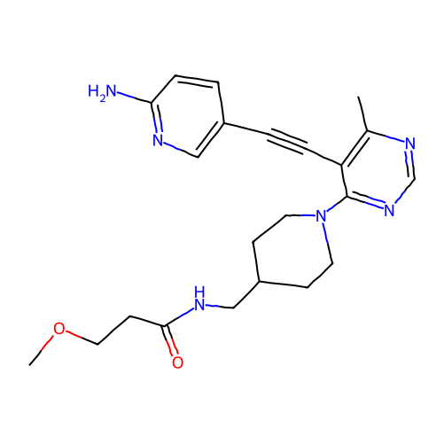 COCCC(=O)NCC1CCN(c2ncnc(C)c2C#Cc2ccc(N)nc2)CC1